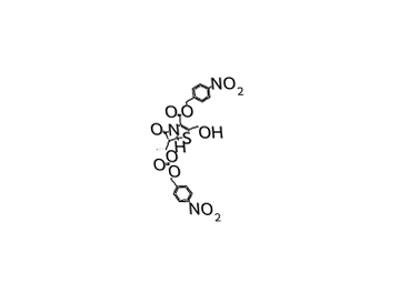 C[C@@H](OC(=O)OCc1ccc([N+](=O)[O-])cc1)[C@H]1C(=O)N2C(C(=O)OCc3ccc([N+](=O)[O-])cc3)=C(CO)S[C@H]12